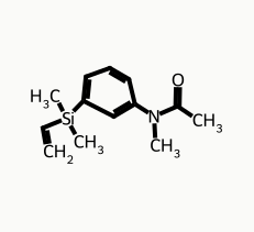 C=C[Si](C)(C)c1cccc(N(C)C(C)=O)c1